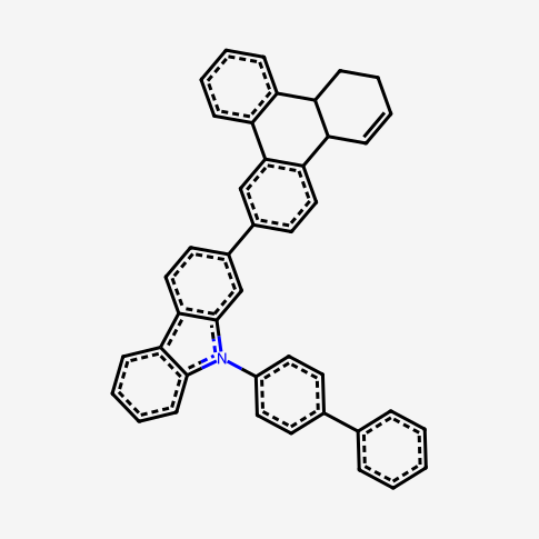 C1=CC2c3ccc(-c4ccc5c6ccccc6n(-c6ccc(-c7ccccc7)cc6)c5c4)cc3-c3ccccc3C2CC1